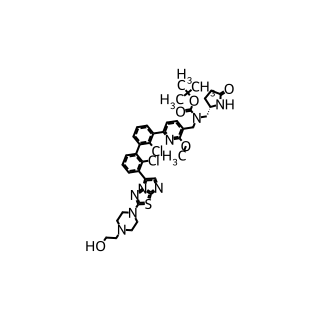 COc1nc(-c2cccc(-c3cccc(-c4cnc5sc(N6CCN(CCO)CC6)nn45)c3Cl)c2Cl)ccc1CN(C[C@@H]1CCC(=O)N1)C(=O)OC(C)(C)C